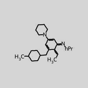 C/C=C1\C(CC2CCC(C)CC2)=CC(N2CCCCC2)=C\C1=N\CCC